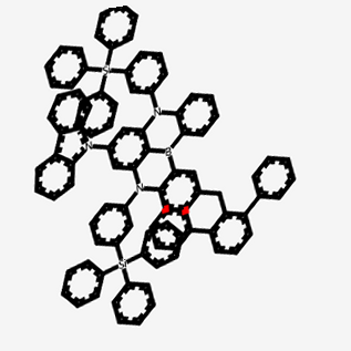 c1ccc(-c2cccc(-c3ccccc3)c2Cc2ccc3c(c2)B2c4ccccc4N(c4cccc([Si](c5ccccc5)(c5ccccc5)c5ccccc5)c4)c4cc(-n5c6ccccc6c6ccccc65)cc(c42)N3c2cccc([Si](c3ccccc3)(c3ccccc3)c3ccccc3)c2)cc1